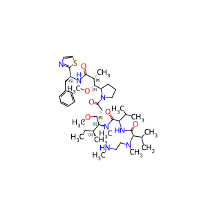 CC[C@H](C)[C@@H]([C@@H](CC(=O)N1CCCC1[C@H](OC)[C@@H](C)C(=O)N[C@@H](Cc1ccccc1)c1nccs1)OC)N(C)C(=O)C(NC(=O)C(C(C)C)N(C)CCNC)C(C)C